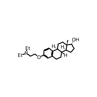 CCN(CC)CCOc1ccc2c(c1)CC[C@@H]1[C@@H]2CC[C@]2(C)[C@H](O)CC[C@@H]12